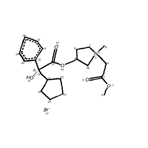 COC(=O)C[N+]1(C)CCC(OC(=O)[C@](O)(c2ccccc2)C2CCCC2)C1.[Br-]